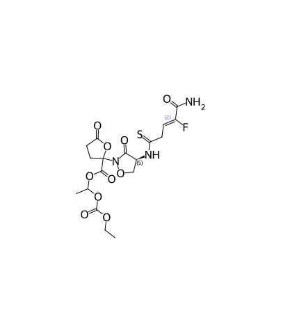 CCOC(=O)OC(C)OC(=O)C1(N2OC[C@H](NC(=S)C/C=C(\F)C(N)=O)C2=O)CCC(=O)O1